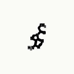 CCC(=O)n1cnc2c(N)ncnc21